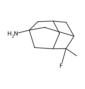 CC1(F)C2CC3CC1CC(N)(C3)C2